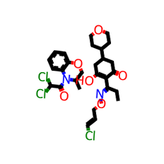 CC/C(=N\OC/C=C/Cl)C1=C(O)CC(C2CCOCC2)CC1=O.CC1COc2ccccc2N1C(=O)C(Cl)Cl